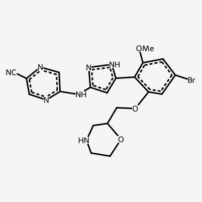 COc1cc(Br)cc(OCC2CNCCO2)c1-c1cc(Nc2cnc(C#N)cn2)n[nH]1